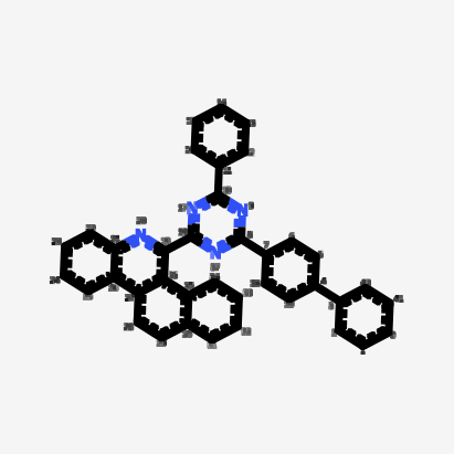 c1ccc(-c2ccc(-c3nc(-c4ccccc4)nc(-c4nc5ccccc5c5ccc6ccccc6c45)n3)cc2)cc1